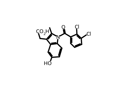 Cc1c(CC(=O)O)c2cc(O)ccc2n1C(=O)c1cccc(Cl)c1Cl